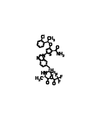 CC(Cc1ccc2ncn(-c3cc(O[C@H](C)c4ccccc4Cl)c(C(N)=O)s3)c2c1)N[C@@H](C)C(=O)OC(=O)C(F)(F)F